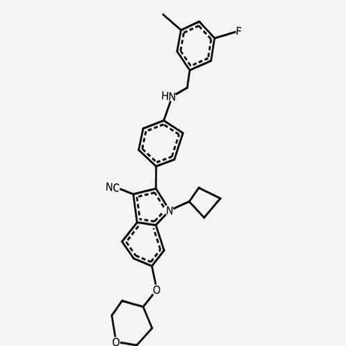 Cc1cc(F)cc(CNc2ccc(-c3c(C#N)c4ccc(OC5CCOCC5)cc4n3C3CCC3)cc2)c1